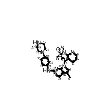 Cc1cn(Cc2cccnc2N(C)S(C)(=O)=O)c2nc(Nc3ccc(N4CCN[C@@H](C)C4)cc3)ncc12